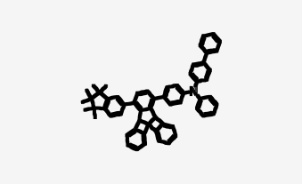 CC1(C)c2ccc(-c3ccc(-c4ccc(N(c5ccccc5)c5ccc(-c6ccccc6)cc5)cc4)c4c3C3c5ccccc5C35c3ccccc3C45)cc2C(C)(C)C1(C)C